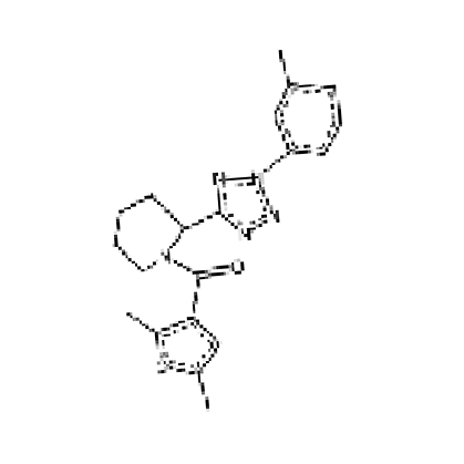 Cc1cccc(-n2nnc(C3CCCCN3C(=O)c3cc(C)oc3C)n2)c1